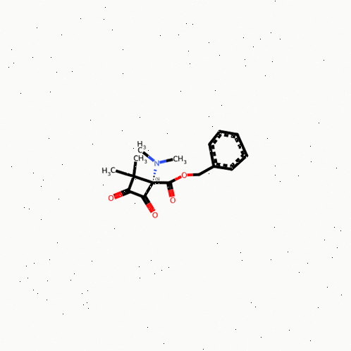 CN(C)[C@]1(C(=O)OCc2ccccc2)C(=O)C(=O)C1(C)C